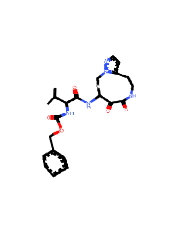 CC(C)C(NC(=O)OCc1ccccc1)C(=O)NC1CCn2nccc2CCNC(=O)C1=O